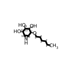 CCCCCCO[C@H]1C2NC2[C@H](O)[C@@H](O)[C@@H]1O